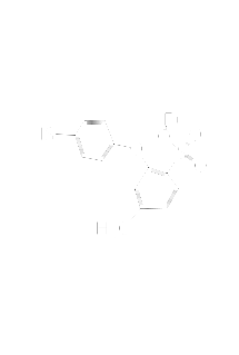 CCOS(=O)(=O)c1ccc(C)cc1Oc1ccc(S)cc1